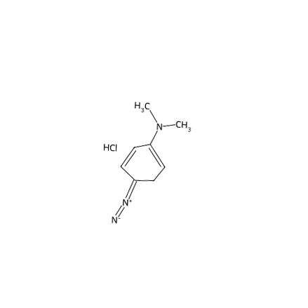 CN(C)C1=CCC(=[N+]=[N-])C=C1.Cl